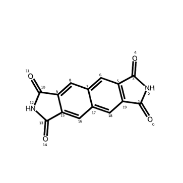 O=c1[nH]c(=O)c2cc3cc4c(=O)[nH]c(=O)c4cc3cc12